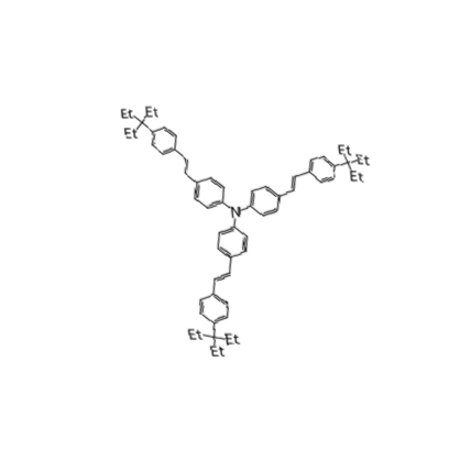 CCC(CC)(CC)c1ccc(/C=C/c2ccc(N(c3ccc(/C=C/c4ccc(C(CC)(CC)CC)cc4)cc3)c3ccc(/C=C/c4ccc(C(CC)(CC)CC)cc4)cc3)cc2)cc1